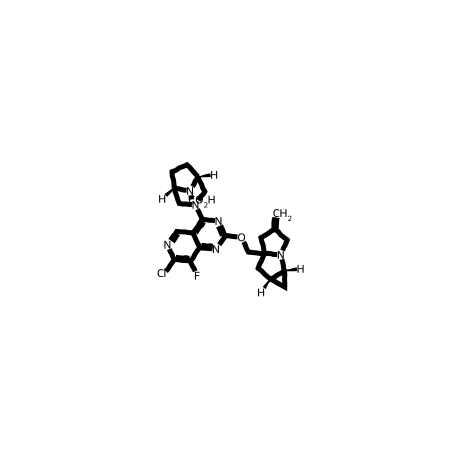 C=C1CN2[C@@H]3C[C@@H]3CC2(COc2nc(N3C[C@H]4CC[C@@H](C3)N4C(=O)O)c3cnc(Cl)c(F)c3n2)C1